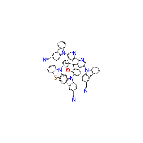 N#Cc1ccc2c(c1)c1ccccc1n2-c1cnc2c(c1)C1(c3cc(-n4c5ccccc5c5cc(C#N)ccc54)cnc3-2)c2cccc(N3c4ccccc4Sc4ccccc43)c2Oc2c(-n3c4ccccc4c4cc(C#N)ccc43)cccc21